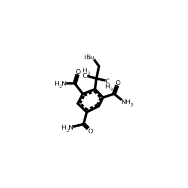 CC(C)(C)CC(C)(C)c1c(C(N)=O)cc(C(N)=O)cc1C(N)=O